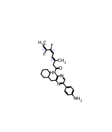 C\C=C(F)/C(F)=C\C=C(/C)CC(=O)Nc1ncc(-c2ccc(N)cc2)nc1CC1CCCCC1